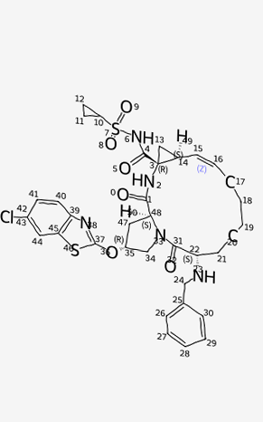 O=C1N[C@]2(C(=O)NS(=O)(=O)C3CC3)C[C@H]2/C=C\CCCCC[C@H](NCc2ccccc2)C(=O)N2C[C@H](Oc3nc4ccc(Cl)cc4s3)C[C@@H]12